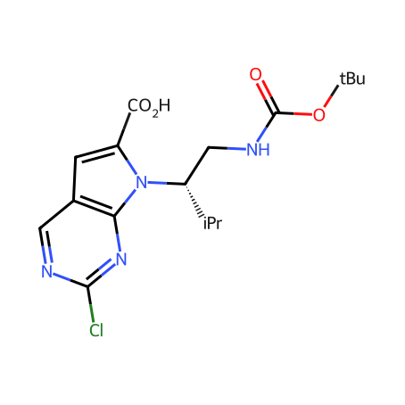 CC(C)[C@@H](CNC(=O)OC(C)(C)C)n1c(C(=O)O)cc2cnc(Cl)nc21